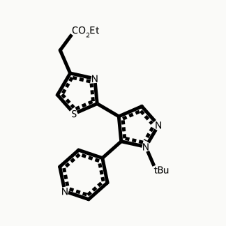 CCOC(=O)Cc1csc(-c2cnn(C(C)(C)C)c2-c2ccncc2)n1